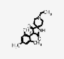 CCN1CCC2(CC1)NC(=O)C(c1c(C)cc(C)cc1C)C2=O